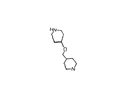 C1CC(COC2CCNCC2)CC[N]1